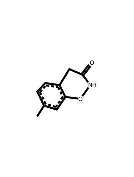 Cc1ccc2c(c1)ONC(=O)C2